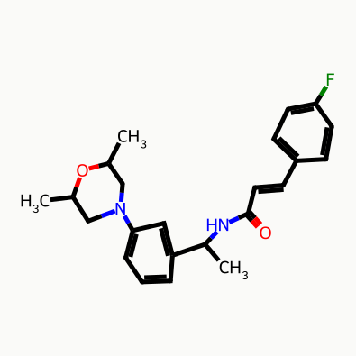 CC1CN(c2cccc(C(C)NC(=O)C=Cc3ccc(F)cc3)c2)CC(C)O1